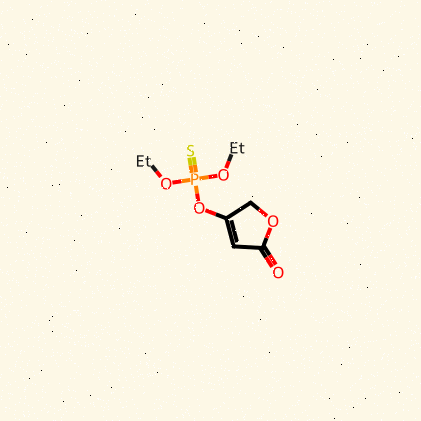 CCOP(=S)(OCC)OC1=CC(=O)OC1